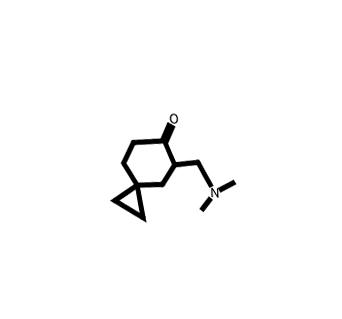 CN(C)CC1CC2(CCC1=O)CC2